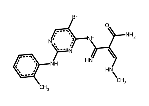 CN/C=C(\C(=N)Nc1nc(Nc2ccccc2C)ncc1Br)C(N)=O